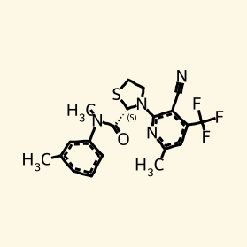 Cc1cccc(N(C)C(=O)[C@@H]2SCCN2c2nc(C)cc(C(F)(F)F)c2C#N)c1